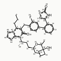 CCCc1c(Cc2ccc(-c3ccccc3-c3noc(=O)[nH]3)cc2F)c(=O)n([C@@H](C)CC[C@H](CC)OC(C)C2(O)CCC2)c2ncnn12